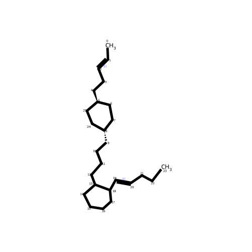 C/C=C/CC[C@H]1CC[C@H](CCCCC2CCCCC2/C=C/CCC)CC1